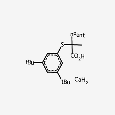 CCCCCC(C)(Sc1cc(C(C)(C)C)cc(C(C)(C)C)c1)C(=O)O.[CaH2]